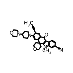 CC#Cc1cc2c(cc1N1CCC(N3CCOCC3)CC1)C1(CCOCC1)c1c(c3ccc(C#N)cc3n1C)C2=O